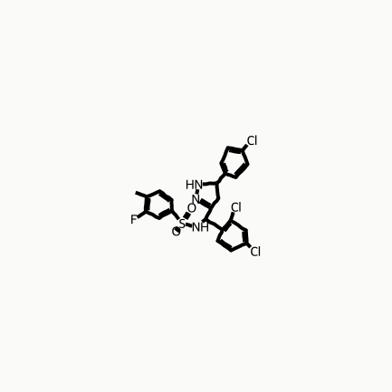 Cc1ccc(S(=O)(=O)NC(C2=NNC(c3ccc(Cl)cc3)C2)c2ccc(Cl)cc2Cl)cc1F